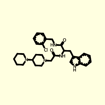 O=C(CN1CCC(N2CCCCC2)CC1)NC(Cc1c[nH]c2ccccc12)C(=O)NCc1ccccc1Cl